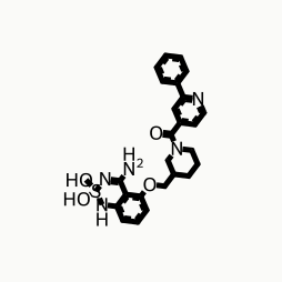 NC1=NS(O)(O)Nc2cccc(OCC3CCCN(C(=O)c4ccnc(-c5ccccc5)c4)C3)c21